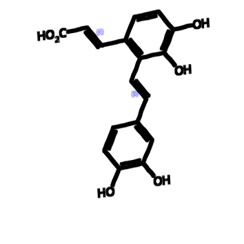 O=C(O)/C=C/c1ccc(O)c(O)c1/C=C/c1ccc(O)c(O)c1